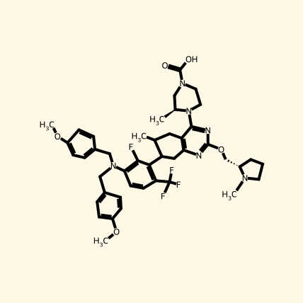 COc1ccc(CN(Cc2ccc(OC)cc2)c2ccc(C(F)(F)F)c(C3Cc4nc(OC[C@@H]5CCCN5C)nc(N5CCN(C(=O)O)C[C@@H]5C)c4CC3C)c2F)cc1